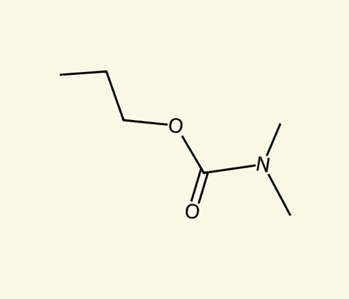 CCCOC(=O)N(C)C